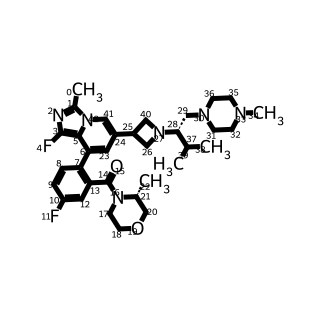 Cc1nc(F)c2c(-c3ccc(F)cc3C(=O)N3CCOC[C@H]3C)cc(C3CN([C@H](CN4CCN(C)CC4)C(C)C)C3)cn12